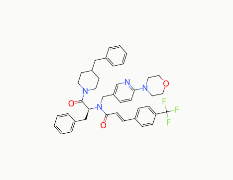 O=C([C@H](Cc1ccccc1)N(Cc1ccc(N2CCOCC2)nc1)C(=O)/C=C/c1ccc(C(F)(F)F)cc1)N1CCC(Cc2ccccc2)CC1